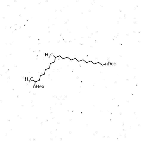 CCCCCCCCCCCCCCCCCCCCCCC(C)CCCCCCCC(C)CCCCCC